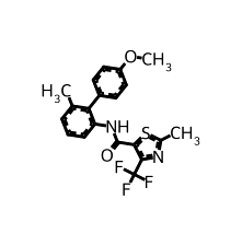 COc1ccc(-c2c(C)cccc2NC(=O)c2sc(C)nc2C(F)(F)F)cc1